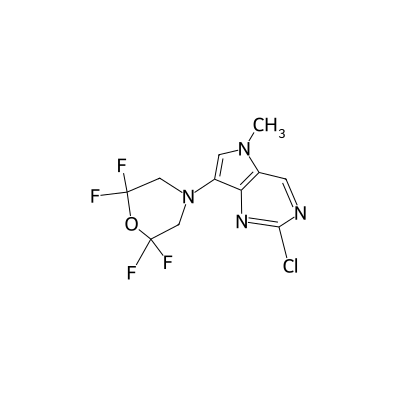 Cn1cc(N2CC(F)(F)OC(F)(F)C2)c2nc(Cl)ncc21